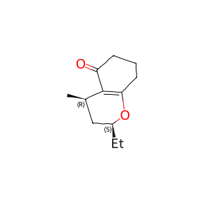 CC[C@H]1C[C@@H](C)C2=C(CCCC2=O)O1